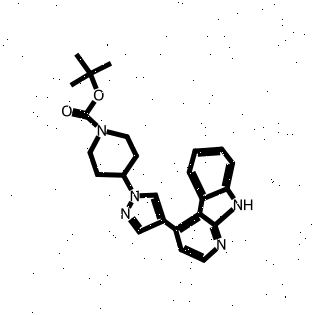 CC(C)(C)OC(=O)N1CCC(n2cc(-c3ccnc4[nH]c5ccccc5c34)cn2)CC1